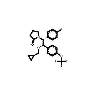 O=C1CCCN1[C@H](c1ccc(F)cc1)[C@@H](OCC1CC1)c1ccc(OC(F)(F)F)cc1